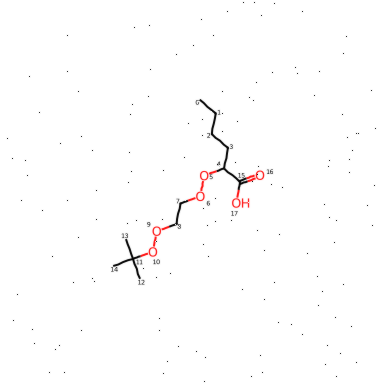 CCCCC(OOCCOOC(C)(C)C)C(=O)O